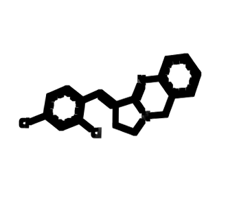 Clc1ccc(/C=C2\CCN3Cc4ccccc4N=C23)c(Cl)c1